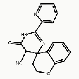 N#CC1C(=O)NC(c2ccccn2)=NC12CCOc1ccccc12